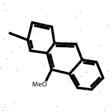 COc1c2ccccc2cc2ccc(C)cc12